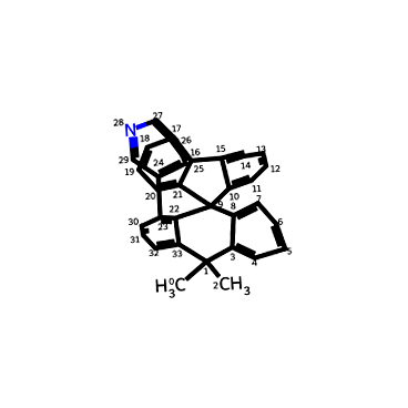 CC1(C)c2ccccc2C2(c3ccccc3-c3ccccc32)c2c(-c3cccnc3)cccc21